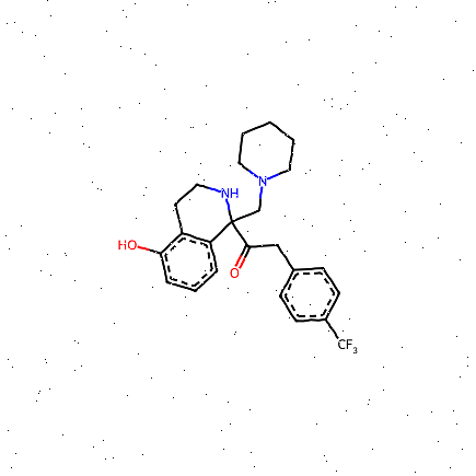 O=C(Cc1ccc(C(F)(F)F)cc1)C1(CN2CCCCC2)NCCc2c(O)cccc21